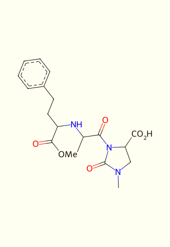 COC(=O)C(CCc1ccccc1)NC(C)C(=O)N1C(=O)N(C)CC1C(=O)O